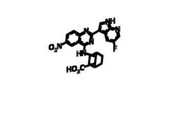 O=C(O)C1C2CCC(CC2)C1Nc1nc(-c2c[nH]c3ncc(F)cc23)nc2ccc([N+](=O)[O-])cc12